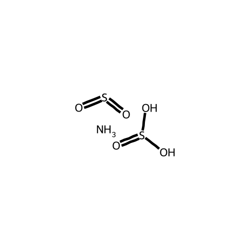 N.O=S(O)O.O=S=O